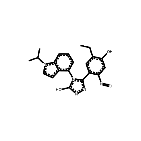 CCc1cc(-c2nnc(O)n2-c2cccc3c2ccn3C(C)C)c(N=O)cc1O